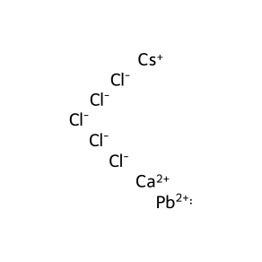 [Ca+2].[Cl-].[Cl-].[Cl-].[Cl-].[Cl-].[Cs+].[Pb+2]